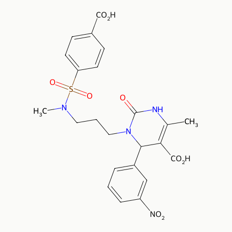 CC1=C(C(=O)O)C(c2cccc([N+](=O)[O-])c2)N(CCCN(C)S(=O)(=O)c2ccc(C(=O)O)cc2)C(=O)N1